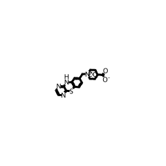 O=C([O-])C12CC[N+](Cc3ccc4c(c3)Nc3nccnc3S4)(CC1)CC2